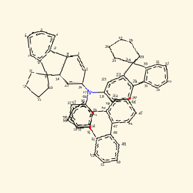 C1=CC2c3ccccc3C3(CCCC3)C2C=C1N(c1ccc2c(c1)C1(CCCCC1)c1ccccc1-2)c1ccccc1-c1ccccc1-c1ccccc1-c1ccccc1